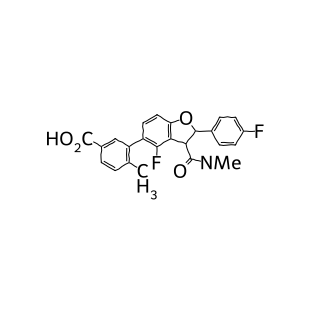 CNC(=O)C1c2c(ccc(-c3cc(C(=O)O)ccc3C)c2F)OC1c1ccc(F)cc1